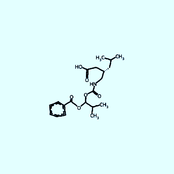 CC(C)C[C@H](CNC(=O)OC(OC(=O)c1ccccc1)C(C)C)CC(=O)O